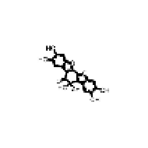 CC(=O)C1(O)C(=O)c2c(oc3cc(O)c(O)cc23)-c2oc3cc(O)c(O)cc3c21